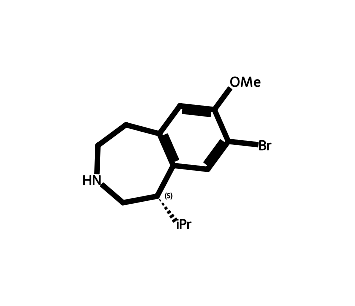 COc1cc2c(cc1Br)[C@H](C(C)C)CNCC2